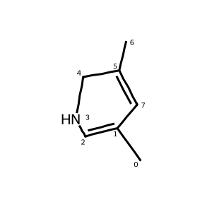 CC1=CNCC(C)=C1